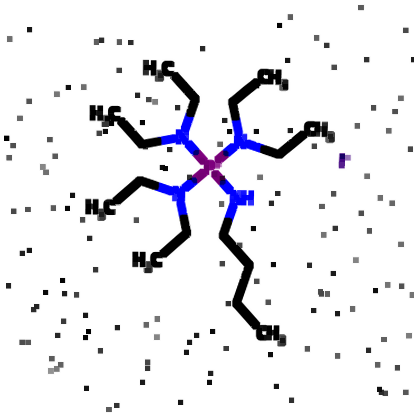 CCCCN[P+](N(CC)CC)(N(CC)CC)N(CC)CC.[I-]